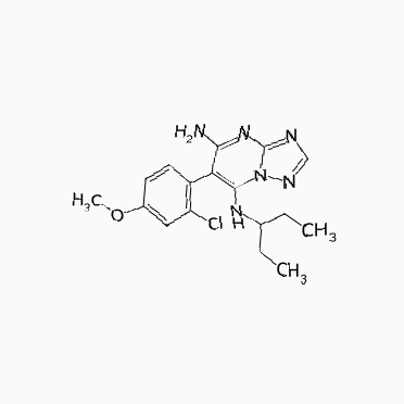 CCC(CC)Nc1c(-c2ccc(OC)cc2Cl)c(N)nc2ncnn12